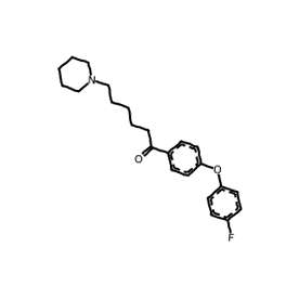 O=C(CCCCCN1CCCCC1)c1ccc(Oc2ccc(F)cc2)cc1